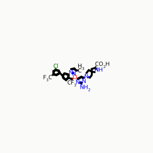 Cc1ccn(-c2cc(-c3cc(Cl)cc(C(F)(F)F)c3)ccc2[C@@H](Oc2cc(N3CCC4(CC3)CN[C@H](C(=O)O)C4)nc(N)n2)C(F)(F)F)n1